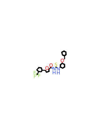 O=C(NC(=S)Nc1cccc(OCc2ccccc2)c1)c1ccc(-c2cccc(C(F)(F)F)c2)o1